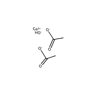 CC(=O)[O-].CC(=O)[O-].[Ga+3].[OH-]